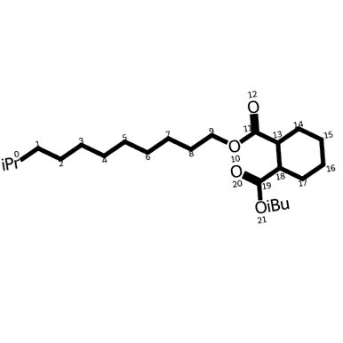 CC(C)CCCCCCCCCOC(=O)C1CCCCC1C(=O)OCC(C)C